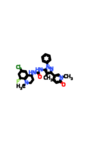 Cc1c(-c2ccc(=O)n(C)c2)nn(-c2ccccc2)c1NC(=O)NC1CCN(C)C2=C1C=C(Cl)CC2F